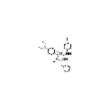 CCN(CC)c1ccc(NC(=O)[C@@H](Cc2ccccc2)NC(=O)Nc2ccc(Cl)cc2)cc1